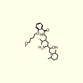 COCCCCOc1ccccc1C(=O)NCC(CC(N)C(O)CN1C(C)CCCC1C)C(C)C